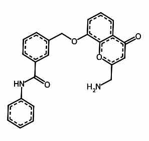 NCc1cc(=O)c2cccc(OCc3cccc(C(=O)Nc4ccccc4)c3)c2o1